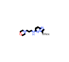 CCCCCCc1cnc2ccc(NCCCN3CCOCC3)nn12